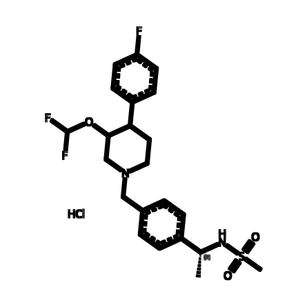 C[C@@H](NS(C)(=O)=O)c1ccc(CN2CCC(c3ccc(F)cc3)C(OC(F)F)C2)cc1.Cl